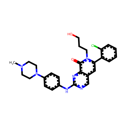 CN1CCN(c2ccc(Nc3ncc4cc(-c5ccccc5Cl)n(CCCO)c(=O)c4n3)cc2)CC1